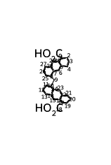 O=C(O)c1cccc2cc3c(Cc4cccc5cc6c(C(=O)O)cccc6cc45)cccc3cc12